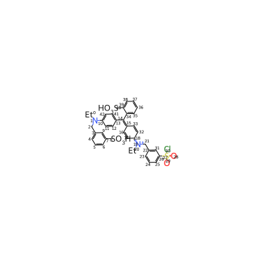 CCN(Cc1cccc(S(=O)(=O)O)c1)c1ccc(C(=C2C=CC(=[N+](CC)Cc3cccc(S(=O)(=O)Cl)c3)C=C2)c2ccccc2S(=O)(=O)O)cc1